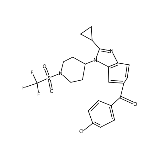 O=C(c1ccc(Cl)cc1)c1ccc2nc(C3CC3)n(C3CCN(S(=O)(=O)C(F)(F)F)CC3)c2c1